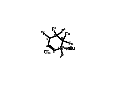 CCCC[N+]1(F)C=CC(F)C(F)(F)C1(F)F.[Cl-]